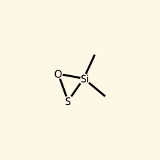 C[Si]1(C)OS1